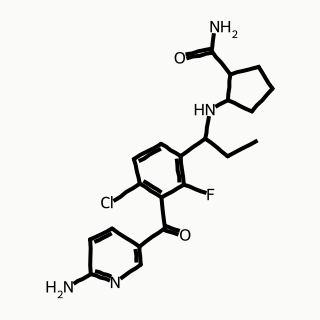 CCC(NC1CCCC1C(N)=O)c1ccc(Cl)c(C(=O)c2ccc(N)nc2)c1F